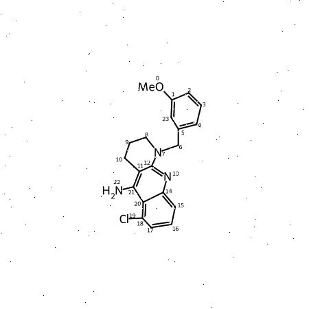 COc1cccc(CN2CCCc3c2nc2cccc(Cl)c2c3N)c1